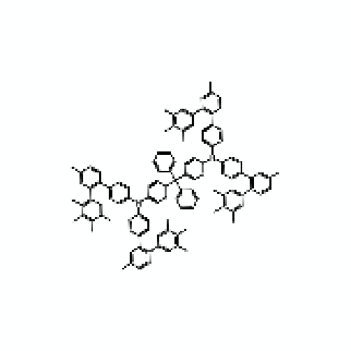 Cc1ccc(-c2cc(C)c(C)c(C)c2)c(-c2ccc(N(c3ccc(-c4ccc(C)cc4-c4cc(C)c(C)c(C)c4)cc3)c3ccc(C(c4ccccc4)(c4ccccc4)c4ccc(N(c5ccc(-c6cc(C)ccc6-c6cc(C)c(C)c(C)c6)cc5)c5ccc(-c6ccc(C)cc6-c6cc(C)c(C)c(C)c6C)cc5)cc4)cc3)cc2)c1